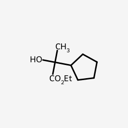 CCOC(=O)C(C)(O)C1CCCC1